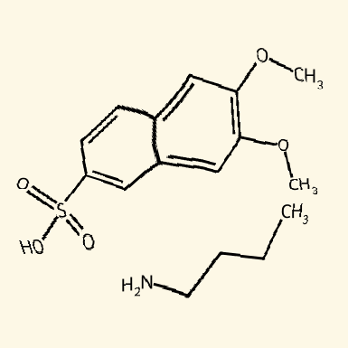 CCCCN.COc1cc2ccc(S(=O)(=O)O)cc2cc1OC